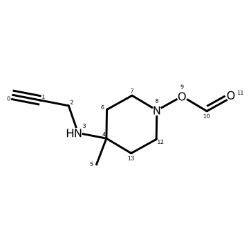 C#CCNC1(C)CCN(OC=O)CC1